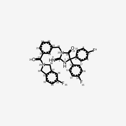 N=C1NC(c2ccc(F)cc2)(c2ccc(F)cc2)C(=O)N1Cc1cccc(C(=O)N2Cc3ccc(F)cc3C2)c1